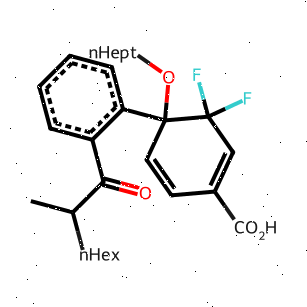 CCCCCCCOC1(c2ccccc2C(=O)C(C)CCCCCC)C=CC(C(=O)O)=CC1(F)F